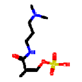 CC(=COS(=O)(=O)O)C(=O)NCCCN(C)C